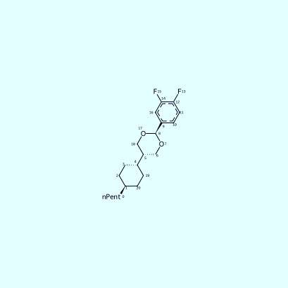 CCCCC[C@H]1CC[C@H]([C@H]2CO[C@H](c3ccc(F)c(F)c3)OC2)CC1